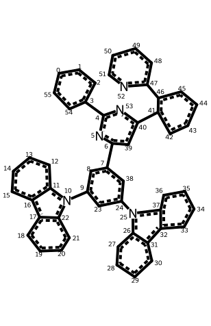 c1ccc(-c2nc(-c3cc(-n4c5ccccc5c5ccccc54)cc(-n4c5ccccc5c5ccccc54)c3)cc(-c3ccccc3-c3ccccn3)n2)cc1